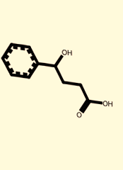 O=C(O)CCC(O)c1ccccc1